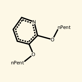 CCCCCOc1cccnc1OCCCCC